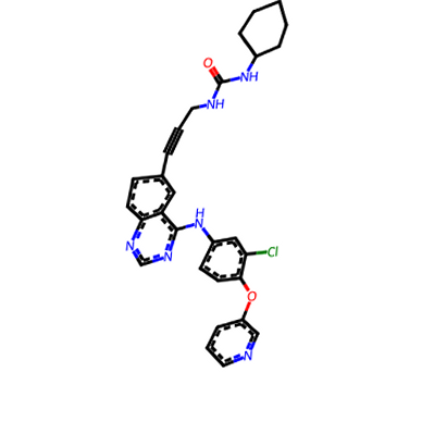 O=C(NCC#Cc1ccc2ncnc(Nc3ccc(Oc4cccnc4)c(Cl)c3)c2c1)NC1CCCCC1